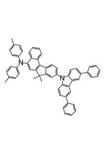 Cc1ccc(N(c2ccc(C)cc2)c2cc3c(c4ccccc24)-c2ccc(-n4c5ccc(-c6ccccc6)cc5c5cc(-c6ccccc6)ccc54)cc2C3(C)C)cc1